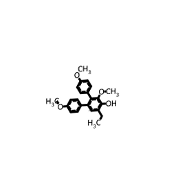 CCc1[c]c(-c2ccc(OC)cc2)c(-c2ccc(OC)cc2)c(OC)c1O